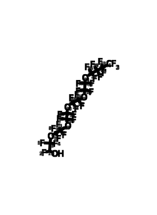 OC(F)C(F)(F)OC(F)(F)C(F)(F)OC(F)(F)C(F)(F)OC(F)(F)C(F)(F)OC(F)(F)C(F)(F)OC(F)(F)C(F)(F)C(F)(F)C(F)(F)F